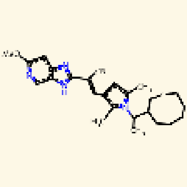 COc1cc2nc(/C(C#N)=C/c3cc(C)n(C(C)C4CCCCCCC4)c3C)[nH]c2cn1